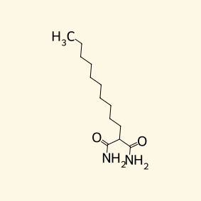 CCCCCCCCCCC(C(N)=O)C(N)=O